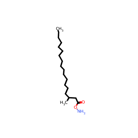 CCCCCCCCCCCCCCCC(C)CC(=O)ON